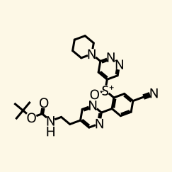 CC(C)(C)OC(=O)NCCc1cnc(-c2ccc(C#N)cc2[S+]([O-])c2cnnc(N3CCCCC3)c2)nc1